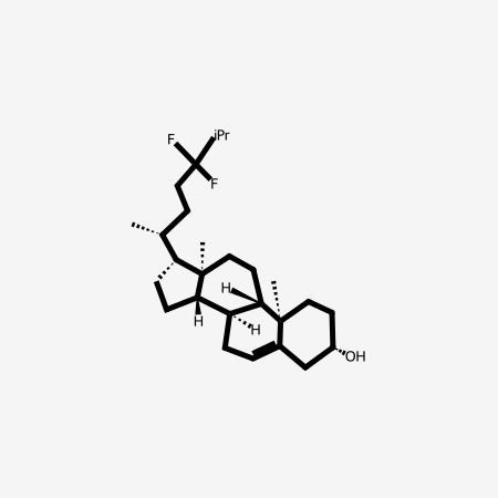 CC(C)C(F)(F)CC[C@@H](C)[C@H]1CC[C@H]2[C@@H]3CC=C4C[C@@H](O)CC[C@]4(C)[C@H]3CC[C@]12C